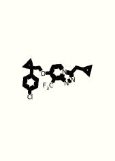 FC(F)(F)c1c(OCC2(c3ccc(Cl)cc3)CC2)ccn2c(CC3CC3)nnc12